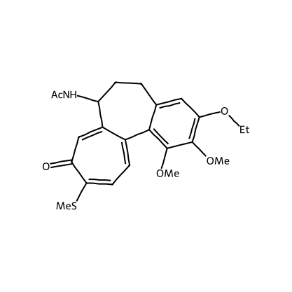 CCOc1cc2c(c(OC)c1OC)-c1ccc(SC)c(=O)cc1C(NC(C)=O)CC2